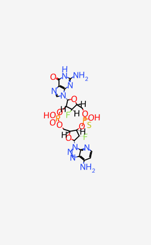 Nc1nc2c(ncn2[C@@H]2O[C@@H]3COP(O)(=S)O[C@H]4[C@H](F)[C@H](n5nnc6c(N)ccnc65)O[C@@H]4COP(=O)(O)O[C@@H]2[C@@H]3F)c(=O)[nH]1